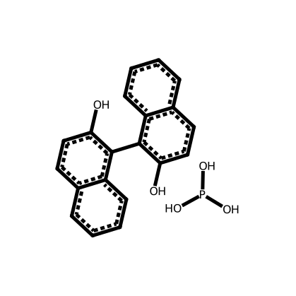 OP(O)O.Oc1ccc2ccccc2c1-c1c(O)ccc2ccccc12